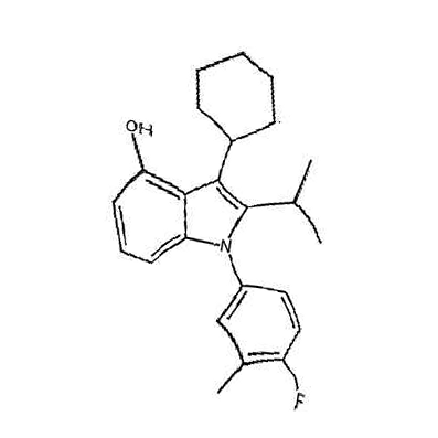 Cc1cc(-n2c(C(C)C)c(C3[CH]CCCC3)c3c(O)cccc32)ccc1F